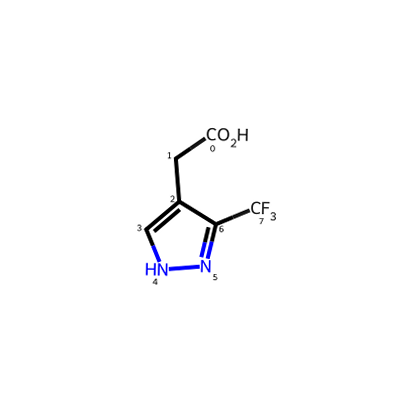 O=C(O)Cc1c[nH]nc1C(F)(F)F